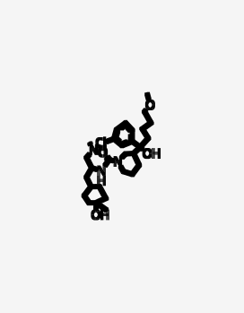 CNCC(CC1CCC(C)(O)CC1)NC(=O)N1CCCC(C(O)(CCCCOC)c2cccc(Cl)c2)C1